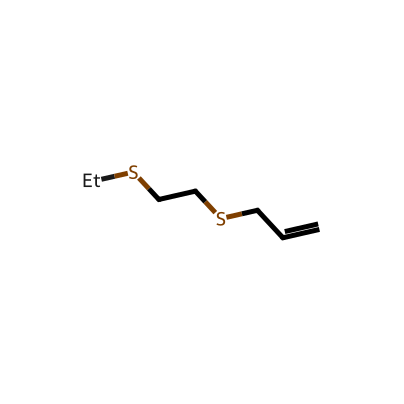 [CH2]CSCCSCC=C